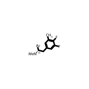 CN[C@@H](Cc1cc(C)c(F)c(F)c1)C(C)=O